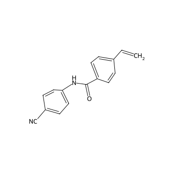 C=Cc1ccc(C(=O)Nc2ccc(C#N)cc2)cc1